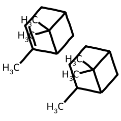 CC1=CCC2CC1C2(C)C.CC1CCC2CC1C2(C)C